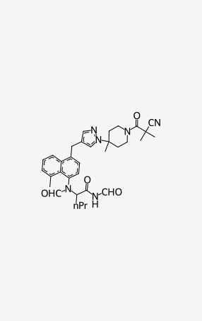 CCCC(C(=O)NC=O)N(C=O)c1ccc(Cc2cnn(C3(C)CCN(C(=O)C(C)(C)C#N)CC3)c2)c2cccc(C)c12